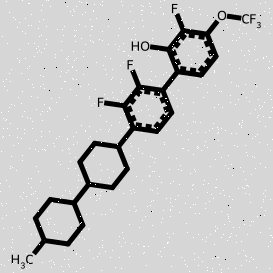 CC1CCC(C2CCC(c3ccc(-c4ccc(OC(F)(F)F)c(F)c4O)c(F)c3F)CC2)CC1